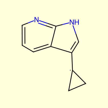 c1cnc2[nH]cc([C]3CC3)c2c1